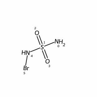 NS(=O)(=O)NBr